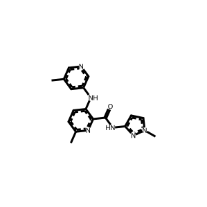 Cc1cncc(Nc2ccc(C)nc2C(=O)Nc2ccn(C)n2)c1